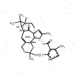 CC1=C[C@@]23CC[C@@H]4[C@@H]([C@H](C=C5COC(C)(C)O[C@H]5[C@]2(O)[C@H]1OC(=O)c1c(C)c[nH]c1C)C3=O)C4(C)C